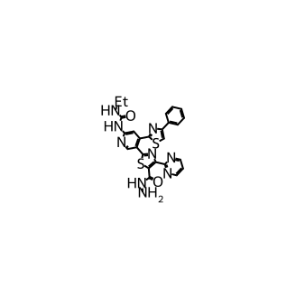 CCNC(=O)Nc1cc(-c2nc(-c3ccccc3)cs2)c(-c2nc(-c3ncccn3)c(C(=O)NN)s2)cn1